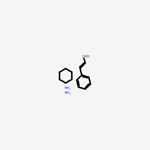 C1CCCCC1.N.N.O=C/C=C/c1ccccc1